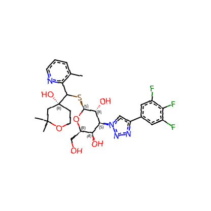 Cc1cccnc1C(S[C@@H]1O[C@H](CO)[C@H](O)[C@H](n2cc(-c3cc(F)c(F)c(F)c3)nn2)[C@H]1O)[C@@]1(O)CCOC(C)(C)C1